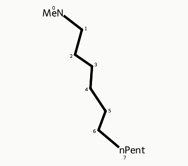 [CH2]NCCCCCCCCCCC